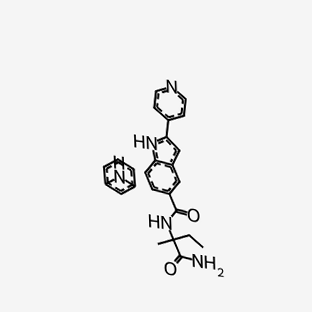 CCC(C)(NC(=O)c1ccc2[nH]c(-c3ccncc3)cc2c1)C(N)=O.c1cc2cc(c1)N2